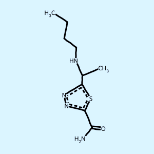 CCCCNC(C)c1nnc(C(N)=O)s1